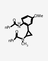 CCCC(=O)Nc1ccc(OC)cc1C1CC1N(C)C(=O)CCC